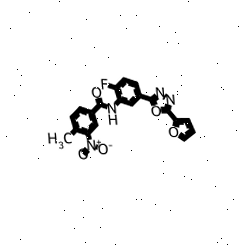 Cc1ccc(C(=O)Nc2cc(-c3nnc(-c4ccco4)o3)ccc2F)cc1[N+](=O)[O-]